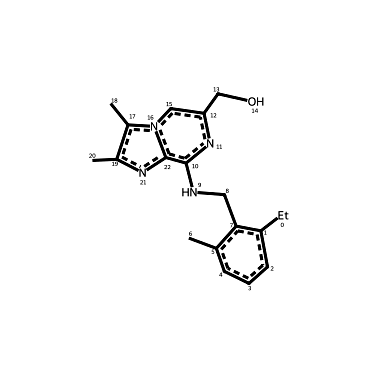 CCc1cccc(C)c1CNc1nc(CO)cn2c(C)c(C)nc12